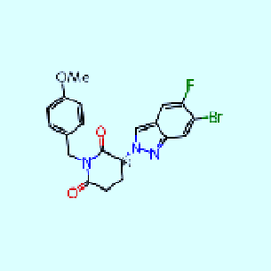 COc1ccc(CN2C(=O)CC[C@@H](n3cc4cc(F)c(Br)cc4n3)C2=O)cc1